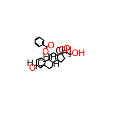 C[C@]12CCC(=O)C=C1CC[C@@H]1[C@@H]2[C@@H](OC(=O)c2ccccc2)C[C@@]2(C)[C@H]1CC[C@]2(O)C(=O)CO